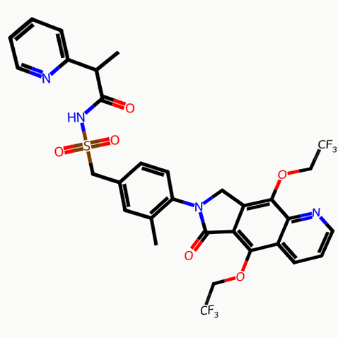 Cc1cc(CS(=O)(=O)NC(=O)C(C)c2ccccn2)ccc1N1Cc2c(c(OCC(F)(F)F)c3cccnc3c2OCC(F)(F)F)C1=O